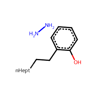 CCCCCCCCCc1ccccc1O.NN